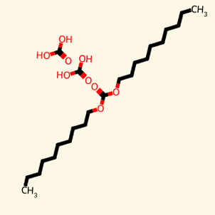 CCCCCCCCCCOC(=O)OCCCCCCCCCC.O=C(O)O.O=C(O)O